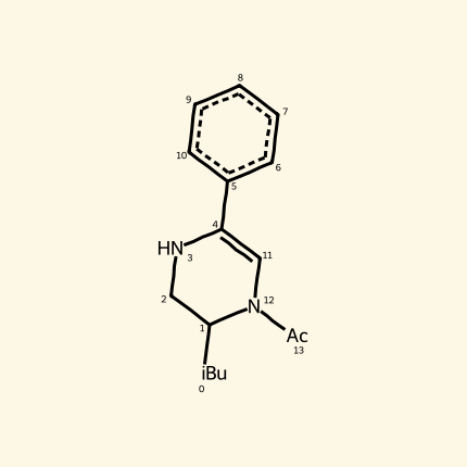 CCC(C)C1CNC(c2ccccc2)=CN1C(C)=O